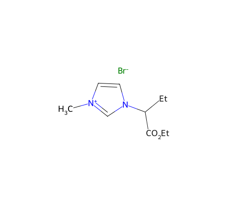 CCOC(=O)C(CC)n1cc[n+](C)c1.[Br-]